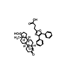 C[C@]12CCC(=O)C[C@@H]1CC[C@@H]1[C@@H]2CC[C@]2(C)[C@@H](O)CC[C@@H]12.O=C(O)CCc1nc(-c2ccccc2)c(-c2ccccc2)o1